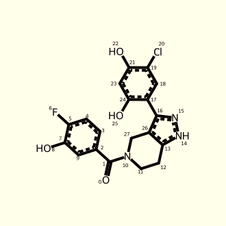 O=C(c1ccc(F)c(O)c1)N1CCc2[nH]nc(-c3cc(Cl)c(O)cc3O)c2C1